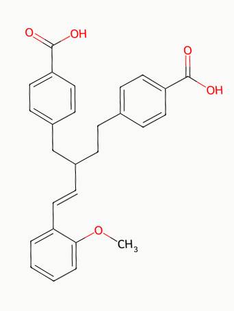 COc1ccccc1C=CC(CCc1ccc(C(=O)O)cc1)Cc1ccc(C(=O)O)cc1